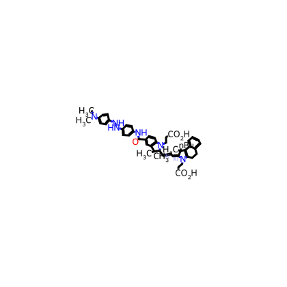 CCCCC1(C)C2=C(CCc3ccccc32)N(CCC(=O)O)/C1=C/C=C/C1N(CCC(=O)O)c2ccc(C(=O)Nc3ccc(NNc4ccc(N(C)C)cc4)cc3)cc2C1(C)C